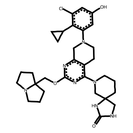 O=C1NCC2(CCCN(c3nc(OCC45CCCN4CCC5)nc4c3CCN(c3cc(O)cc(Cl)c3C3CC3)C4)C2)N1